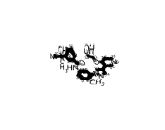 Cc1ccc(NC(=O)c2cccc(C(C)(C)C#N)c2)cc1N1CC(C2C=NC=CC2OCCO)C=N1